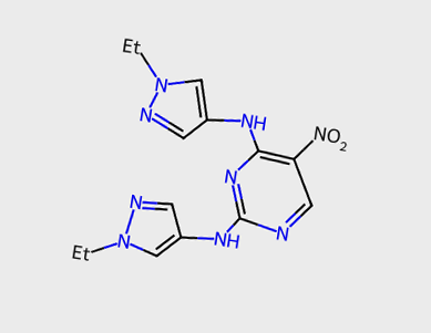 CCn1cc(Nc2ncc([N+](=O)[O-])c(Nc3cnn(CC)c3)n2)cn1